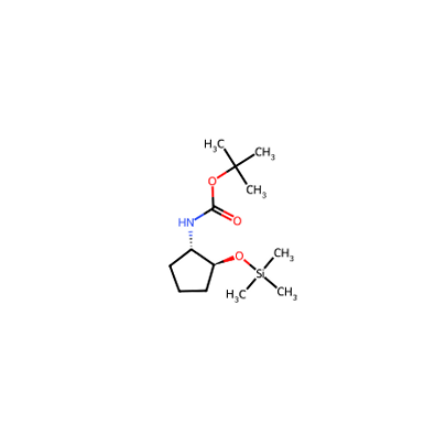 CC(C)(C)OC(=O)N[C@H]1CCC[C@@H]1O[Si](C)(C)C